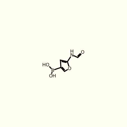 O=CNc1cc(B(O)O)co1